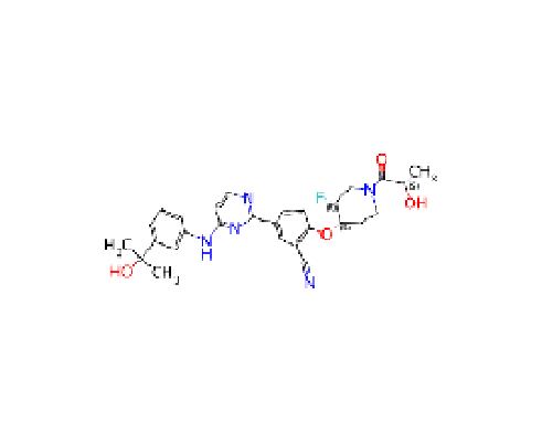 C[C@H](O)C(=O)N1CC[C@H](Oc2ccc(-c3nccc(Nc4cccc(C(C)(C)O)c4)n3)cc2C#N)[C@H](F)C1